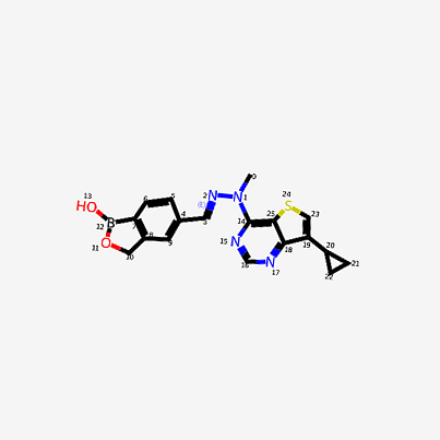 CN(/N=C/c1ccc2c(c1)COB2O)c1ncnc2c(C3CC3)csc12